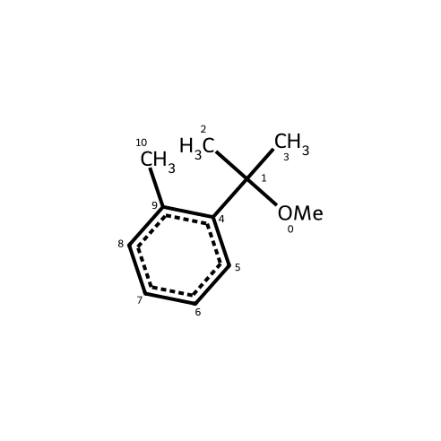 COC(C)(C)c1ccccc1C